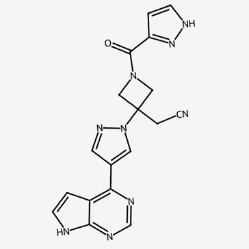 N#CCC1(n2cc(-c3ncnc4[nH]ccc34)cn2)CN(C(=O)c2cc[nH]n2)C1